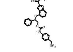 N=C(N)c1cc2c(OC(COC(=O)Nc3ccc(CN)cc3)c3ccccc3)cccc2s1